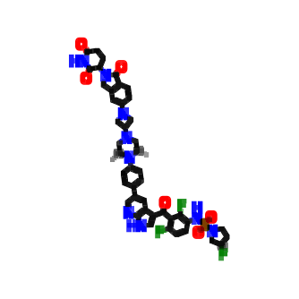 C[C@@H]1CN(C2CN(c3ccc4c(c3)CN(C3CCC(=O)NC3=O)C4=O)C2)C[C@H](C)N1c1ccc(-c2cnc3[nH]cc(C(=O)c4c(F)ccc(NS(=O)(=O)N5CC[C@@H](F)C5)c4F)c3c2)cc1